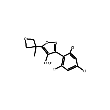 CC1(c2onc(-c3c(Cl)cc(Cl)cc3Cl)c2C(=O)O)COC1